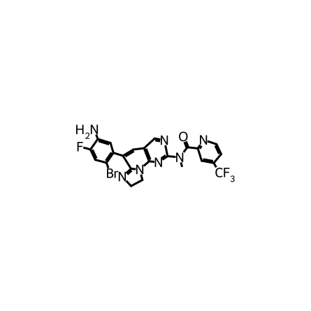 CN(C(=O)c1cc(C(F)(F)F)ccn1)c1ncc2c(n1)N1CCN=C1C(c1cc(N)c(F)cc1Br)=C2